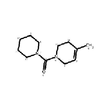 CC1=CCN(C(=O)N2CCCCC2)CC1